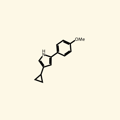 COc1ccc(-c2cc(C3CC3)c[nH]2)cc1